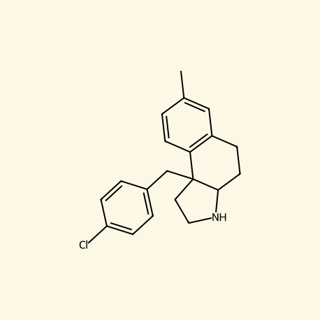 Cc1ccc2c(c1)CCC1NCCC21Cc1ccc(Cl)cc1